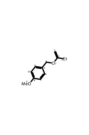 C=C(CC)OCc1ccc(OC)cc1